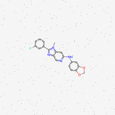 Cn1c(-c2cccc(F)c2)nc2cnc(Nc3ccc4c(c3)OCO4)cc21